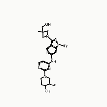 CC(C)n1nc(N2CC(C)(CO)C2)c2cnc(Nc3ccnc(N4CC[C@H](O)[C@H](F)C4)n3)cc21